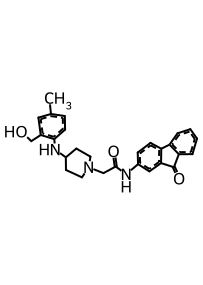 Cc1ccc(NC2CCN(CC(=O)Nc3ccc4c(c3)C(=O)c3ccccc3-4)CC2)c(CO)c1